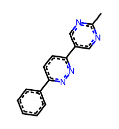 Cc1ncc(-c2ccc(-c3ccccc3)nn2)cn1